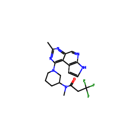 Cc1nc(N2CCCC(N(C)C(=O)CC(F)(F)F)C2)c2c(cnc3[nH]ccc32)n1